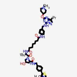 Cc1ncsc1-c1ccc(CNC(=O)C2C[C@@H](O)CN2C(=O)C(NC(=O)CCCCCCC(=O)Nc2ccc(CNc3nc(OC4CCN(C)CC4)nc4c(C(C)C)cnn34)cc2)C(C)(C)C)cc1